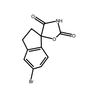 O=C1NC(=O)C2(CCc3cc(Br)ccc32)O1